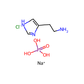 NCCc1c[nH]cn1.O=P(O)(O)O.[Cl-].[Na+]